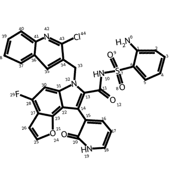 Nc1ccccc1S(=O)(=O)NC(=O)c1c(-c2ccc[nH]c2=O)c2c3occc3c(F)cc2n1Cc1cc2ccccc2nc1Cl